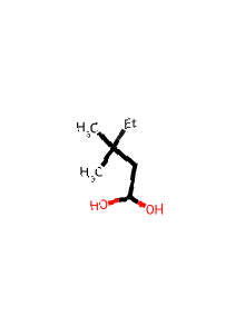 CCC(C)(C)CC(O)O